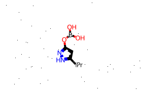 CC(C)c1cc(OB(O)O)n[nH]1